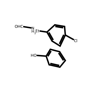 CCc1ccc(Cl)cc1.NC=O.Oc1ccccc1